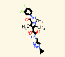 Cc1c(C(O)C(=O)NCc2cn(C3CC3)nn2)c(C)n(C)c1C(=O)Nc1ccc(F)c(F)c1